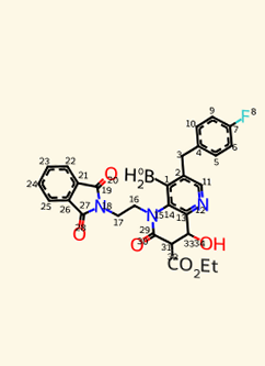 Bc1c(Cc2ccc(F)cc2)cnc2c1N(CCN1C(=O)c3ccccc3C1=O)C(=O)C(C(=O)OCC)C2O